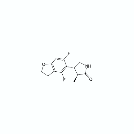 C[C@@H]1C(=O)NC[C@H]1c1c(F)cc2c(c1F)CCO2